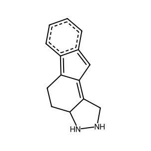 C1=c2ccccc2=C2CCC3NNCC3=C12